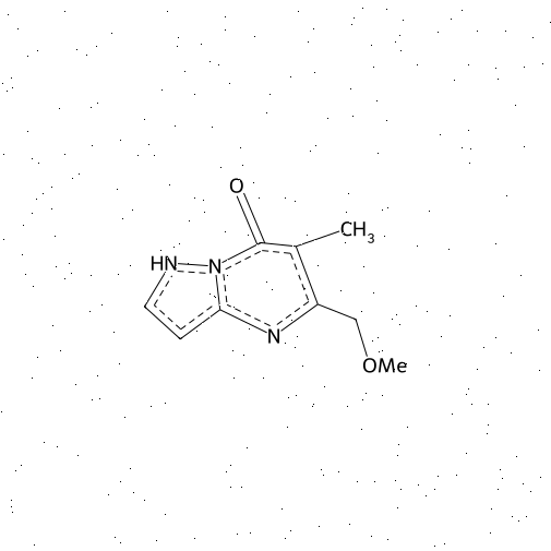 COCc1nc2cc[nH]n2c(=O)c1C